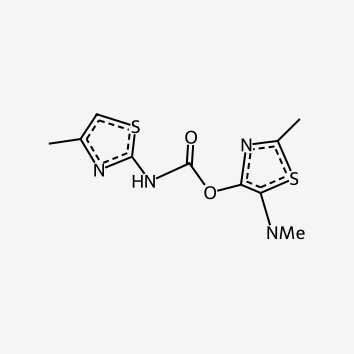 CNc1sc(C)nc1OC(=O)Nc1nc(C)cs1